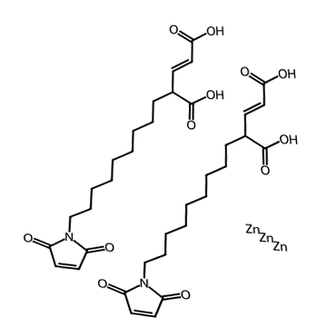 O=C(O)C=CC(CCCCCCCCCN1C(=O)C=CC1=O)C(=O)O.O=C(O)C=CC(CCCCCCCCCN1C(=O)C=CC1=O)C(=O)O.[Zn].[Zn].[Zn]